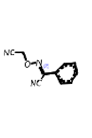 N#CCO/N=C(\C#N)c1ccccc1